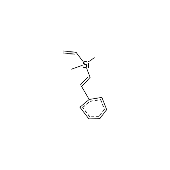 C=C[Si](C)(C)C=Cc1ccccc1